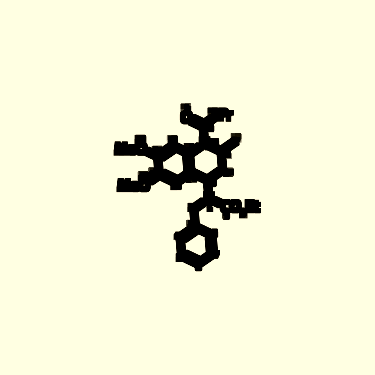 CCOC(=O)N(Cc1ccccc1)C1CC(C)N(C(=O)C(C)C)c2cc(OC)c(OC)cc21